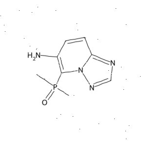 CP(C)(=O)c1c(N)ccc2ncnn12